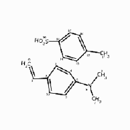 C=Cc1ccc(N(C)C)cc1.Cc1ccc(S(=O)(=O)O)cc1